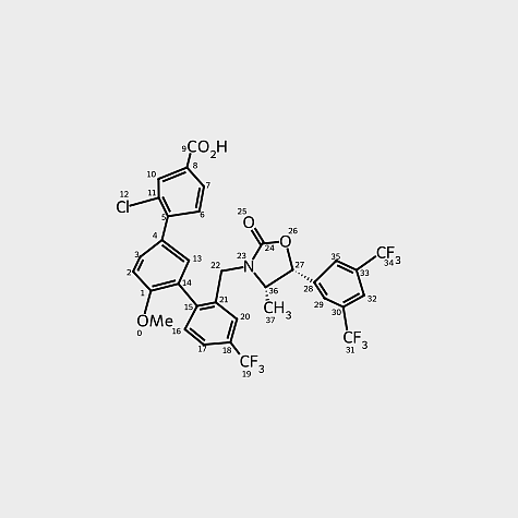 COc1ccc(-c2ccc(C(=O)O)cc2Cl)cc1-c1ccc(C(F)(F)F)cc1CN1C(=O)O[C@H](c2cc(C(F)(F)F)cc(C(F)(F)F)c2)[C@@H]1C